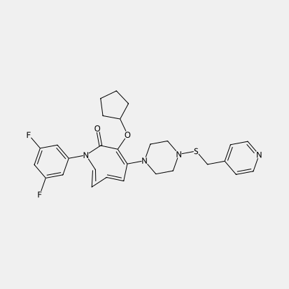 O=C1\C(OC2CCCC2)=C(N2CCN(SCc3ccncc3)CC2)/C=C/C=C/N1c1cc(F)cc(F)c1